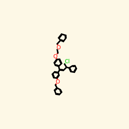 ClCC(/C=C(\c1ccc(OCCOCc2ccccc2)cc1)c1cccc(OCc2ccccc2)c1)c1ccccc1